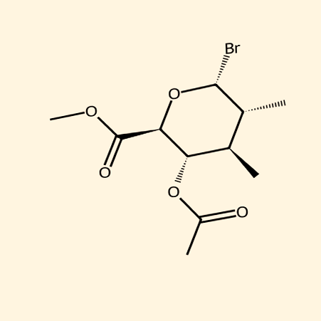 COC(=O)[C@H]1O[C@H](Br)[C@H](C)[C@@H](C)[C@@H]1OC(C)=O